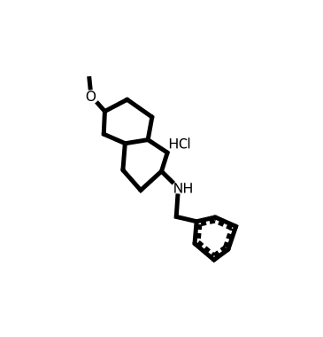 COC1CCC2CC(NCc3ccccc3)CCC2C1.Cl